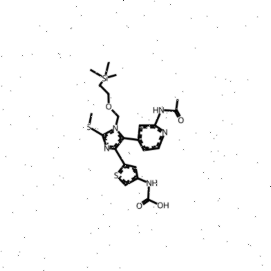 CSc1nc(-c2cc(NC(=O)O)cs2)c(-c2ccnc(NC(C)=O)c2)n1COCC[Si](C)(C)C